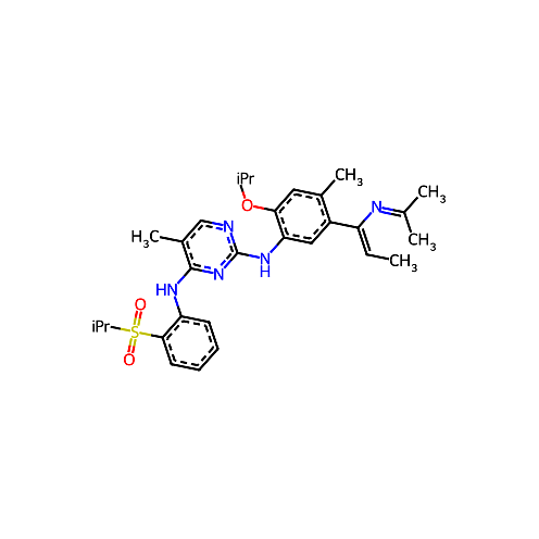 C/C=C(\N=C(C)C)c1cc(Nc2ncc(C)c(Nc3ccccc3S(=O)(=O)C(C)C)n2)c(OC(C)C)cc1C